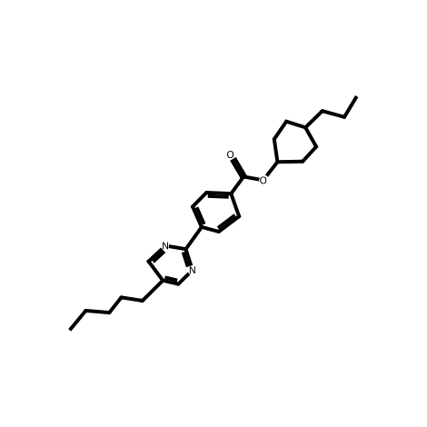 CCCCCc1cnc(-c2ccc(C(=O)OC3CCC(CCC)CC3)cc2)nc1